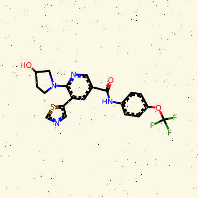 O=C(Nc1ccc(OC(F)(F)F)cc1)c1cnc(N2CCC(O)C2)c(-c2cncs2)c1